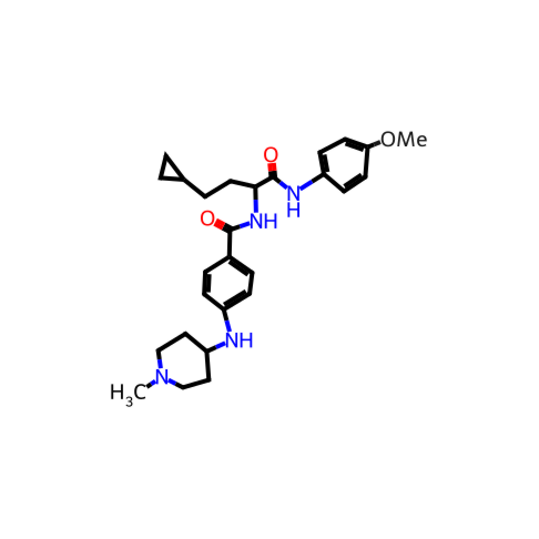 COc1ccc(NC(=O)C(CCC2CC2)NC(=O)c2ccc(NC3CCN(C)CC3)cc2)cc1